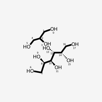 OCC(O)CO.OC[C@@H](O)[C@H](O)[C@H](O)[C@@H](O)CO